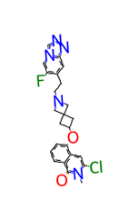 Cn1c(Cl)cc2c(OC3CC4(C3)CN(CCc3cc5nncn5cc3F)C4)cccc2c1=O